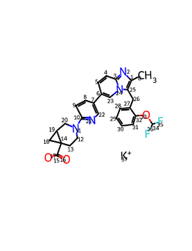 Cc1nc2ccc(-c3ccc(N4CCC5(C(=O)[O-])CC5C4)nc3)cn2c1Cc1ccccc1OC(F)F.[K+]